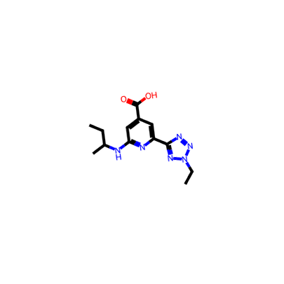 CCC(C)Nc1cc(C(=O)O)cc(-c2nnn(CC)n2)n1